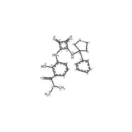 CN(C)C(=O)c1cccc(Nc2c(NC3(c4ccccc4)CCCC3)c(=O)c2=O)c1O